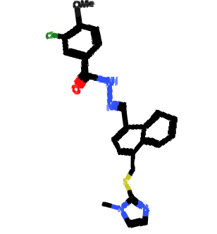 COc1ccc(C(=O)N/N=C/c2ccc(CSc3nccn3C)c3ccccc23)cc1Cl